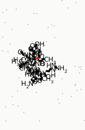 CC[C@@H](C)[C@H](C=O)N[C@H](NC(=O)[C@@H](NC(=O)[C@@H](NC(=O)[C@@H](CC)NCC=O)N[C@@H](C=O)CC(=O)O)N[C@@H](CCCCN)C(=O)C(C)=O)C(=O)N[C@@H](N[C@@H](C=O)CC(N)=O)C(=O)N[C@@H](N[C@@H](C=O)CCCNC(=N)N)C(C)=O